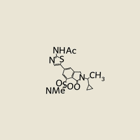 CNS(=O)(=O)c1cc(-c2cnc(NC(C)=O)s2)cc2c1C(=O)N(C(C)C1CC1)C2